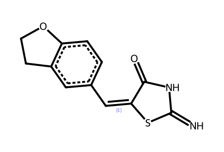 N=C1NC(=O)/C(=C\c2ccc3c(c2)CCO3)S1